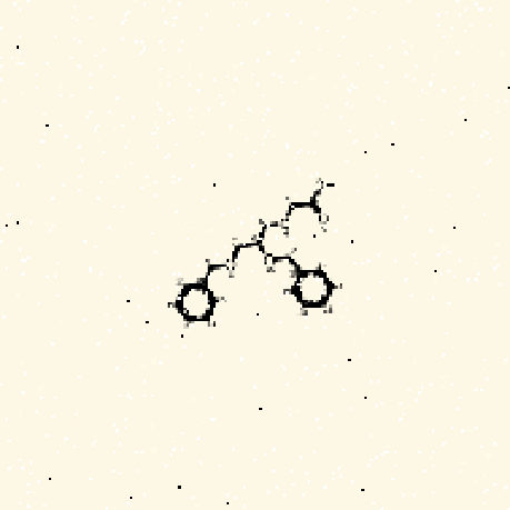 O=C(O)COCC(COCc1ccccc1)OCc1ccccc1